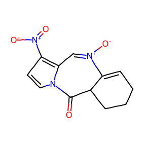 O=C1C2CCCC=C2[N+]([O-])=Cc2c([N+](=O)[O-])ccn21